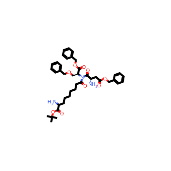 CC(C)(C)OC(=O)C(N)CCCCCCC(=O)N(C(=O)[C@@H](N)CC(=O)OCc1ccccc1)[C@@H](COCc1ccccc1)C(=O)OCc1ccccc1